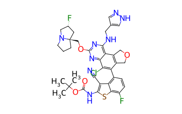 CC(C)(C)OC(=O)Nc1sc2c(F)ccc(-c3c4c(c5c(NCc6cn[nH]c6)nc(OC[C@@]67CCCN6C[C@H](F)C7)nc5c3Cl)COC4)c2c1C#N